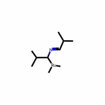 CC(C)C=N[CH](C(C)C)[Ru]([CH3])[CH3]